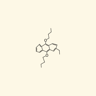 CCCCOc1c2ccccc2c(OCCCC)c2cc(CC)ccc12